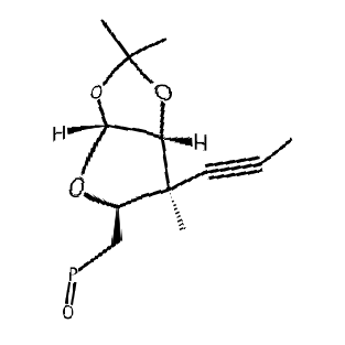 CC#C[C@@]1(C)[C@@H](CP=O)O[C@@H]2OC(C)(C)O[C@@H]21